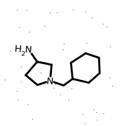 NC1CCN(CC2CCCCC2)C1